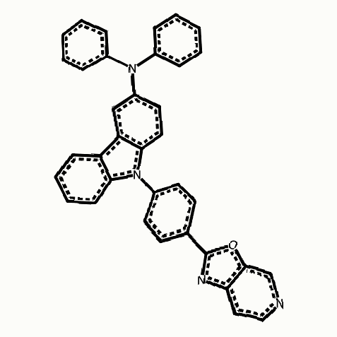 c1ccc(N(c2ccccc2)c2ccc3c(c2)c2ccccc2n3-c2ccc(-c3nc4ccncc4o3)cc2)cc1